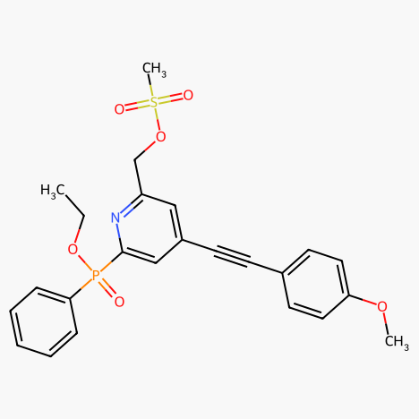 CCOP(=O)(c1ccccc1)c1cc(C#Cc2ccc(OC)cc2)cc(COS(C)(=O)=O)n1